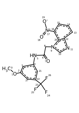 COc1cc(NC(=O)Cn2cnc3cccc([N+](=O)[O-])c32)cc(C(F)(F)F)c1